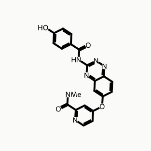 CNC(=O)c1cc(Oc2ccc3nnc(NC(=O)c4ccc(O)cc4)nc3c2)ccn1